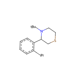 CC(C)c1ccccc1C1CSCCN1C(C)(C)C